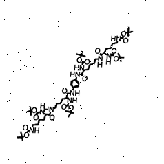 CC(C)(C)OC(=O)NCCCCC(NC(=O)OC(C)(C)C)C(=O)NCCCCC(NC(=O)OC(C)(C)C)C(=O)Nc1ccc(NC(=O)C(CCCCNC(=O)C(CCCCNC(=O)OC(C)(C)C)NC(=O)OC(C)(C)C)NC(=O)OC(C)(C)C)cc1